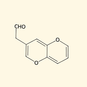 O=CCC1=COC2=CC=COC2=C1